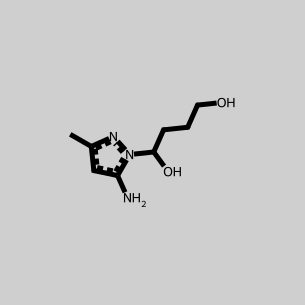 Cc1cc(N)n(C(O)CCCO)n1